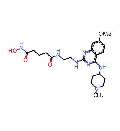 COc1ccc2c(NC3CCN(C)CC3)nc(NCCNC(=O)CCCC(=O)NO)nc2c1